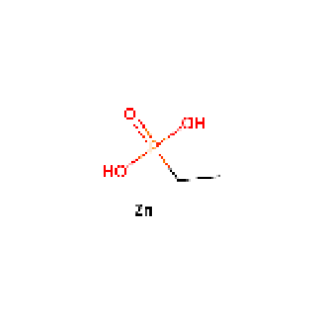 CCP(=O)(O)O.[Zn]